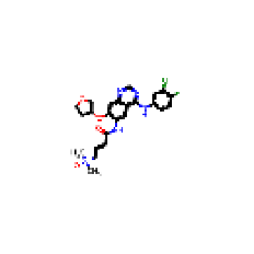 C[N+](C)([O-])C/C=C/C(=O)Nc1cc2c(Nc3ccc(F)c(Cl)c3)ncnc2cc1O[C@H]1CCOC1